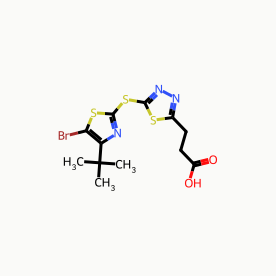 CC(C)(C)c1nc(Sc2nnc(CCC(=O)O)s2)sc1Br